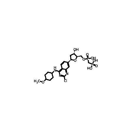 COC1CCC(Nc2nc(Cl)nc3cc([C@H]4C[C@H](O)[C@@H](COP(=O)(O)CP(=O)(O)O)O4)ccc23)CC1